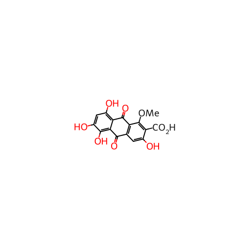 COc1c(C(=O)O)c(O)cc2c1C(=O)c1c(O)cc(O)c(O)c1C2=O